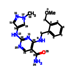 COCc1ccccc1CNc1nc(Nc2cnn(C)c2)ncc1C(N)=O